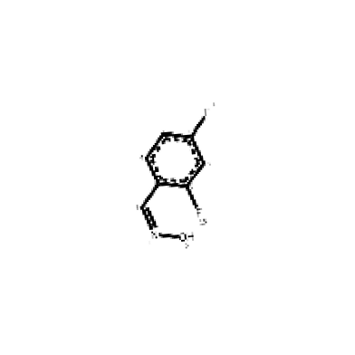 O/N=C\c1[c]cc(F)cc1F